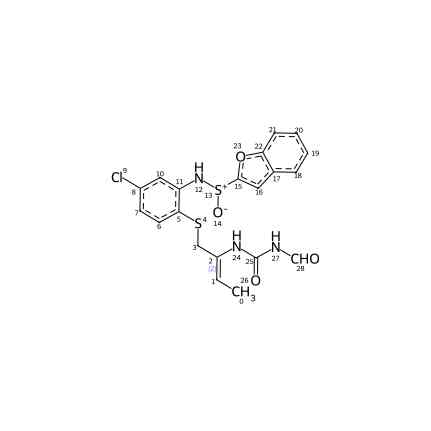 C/C=C(/CSc1ccc(Cl)cc1N[S+]([O-])c1cc2ccccc2o1)NC(=O)NC=O